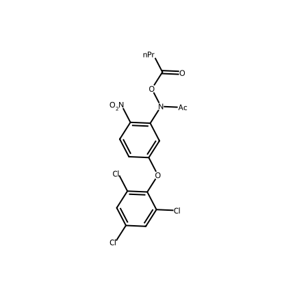 CCCC(=O)ON(C(C)=O)c1cc(Oc2c(Cl)cc(Cl)cc2Cl)ccc1[N+](=O)[O-]